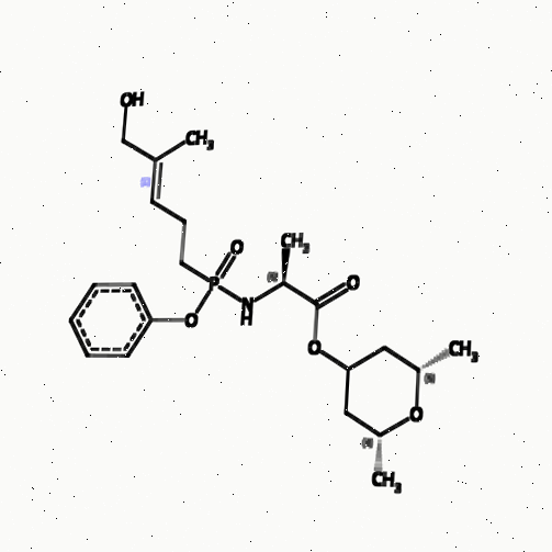 C/C(=C\CCP(=O)(N[C@@H](C)C(=O)OC1C[C@@H](C)O[C@@H](C)C1)Oc1ccccc1)CO